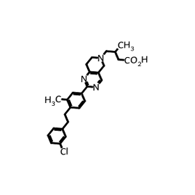 Cc1cc(-c2ncc3c(n2)CCN(CC(C)CC(=O)O)C3)ccc1CCc1cccc(Cl)c1